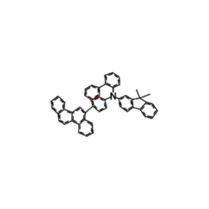 CC1(C)c2ccccc2-c2ccc(N(c3ccc(-c4cc5c6ccccc6ccc5c5ccccc45)cc3)c3ccccc3-c3ccccc3)cc21